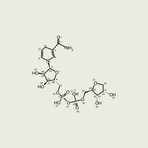 NC(=O)C1=CN([C@H]2O[C@H](COP(=O)(O)OP(=O)(O)OC[C@H]3OC[C@H](O)[C@@H]3O)[C@@H](O)[C@H]2O)C=CC1